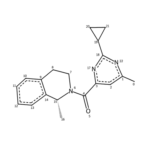 Cc1cc(C(=O)N2CCc3ccccc3[C@H]2C)nc(C2CC2)n1